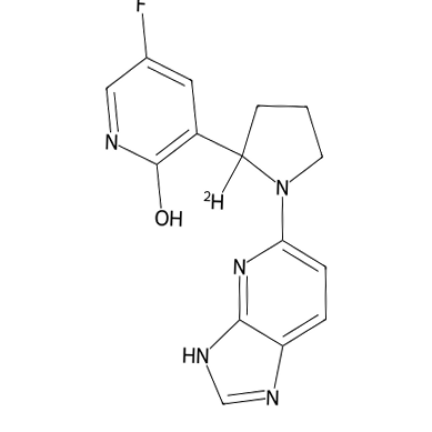 [2H]C1(c2cc(F)cnc2O)CCCN1c1ccc2nc[nH]c2n1